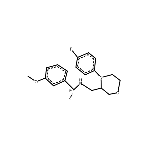 COc1cccc([C@@H](C)NCC2COCCN2c2ccc(F)cc2)c1